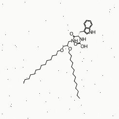 CCCCCCCCCCCCCCOCC(CNC(=O)[C@H](Cc1c[nH]c2ccccc12)NC(=O)O)OCCCCCCCCCCCCCC